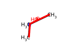 CCCCCCCCCCCCCCCCCCC(CCCCCCCCCCCCN(C)CCCCCCCCCCCCCCCCCC)C(=O)O